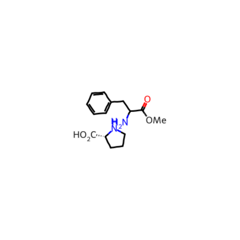 COC(=O)C(N)Cc1ccccc1.O=C(O)[C@H]1CCCN1